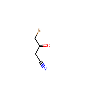 N#CCC(=O)CBr